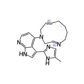 Cc1cnc(-c2c[nH]c3nccc(N4C/C=C/CCCC/N=C/C4)c23)[nH]1